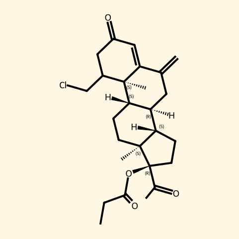 C=C1C[C@H]2[C@@H]3CC[C@](OC(=O)CC)(C(C)=O)[C@@]3(C)CC[C@@H]2[C@]2(C)C1=CC(=O)CC2CCl